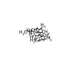 CCCC.CCCC.CCCC.CCCC.CCOCC